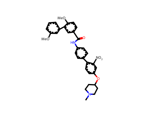 COc1cccc(-c2cc(C(=O)Nc3ccc(-c4ccc(OC5CCN(C)CC5)cc4[N+](=O)[O-])cc3)ccc2OC)c1